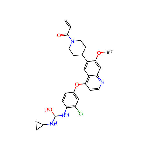 C=CC(=O)N1CCC(c2cc3c(Oc4ccc(NC(O)NC5CC5)c(Cl)c4)ccnc3cc2OC(C)C)CC1